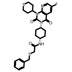 O=C(CSCc1ccccc1)N[C@H]1CC[C@@H](n2c(=O)c3cc(F)cnc3n(C3CCSCC3)c2=O)CC1